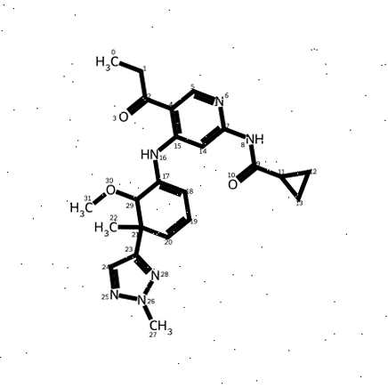 CCC(=O)c1cnc(NC(=O)C2CC2)cc1NC1=CC=CC(C)(c2cnn(C)n2)C1OC